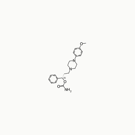 COc1ccc(N2CCN(CC[C@H](OC(N)=O)c3ccccc3)CC2)cc1